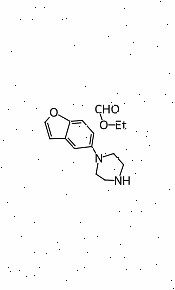 CCOC=O.c1cc2cc(N3CCNCC3)ccc2o1